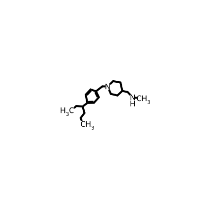 CCCC(CC)c1ccc(CN2CCC(CNC)CC2)cc1